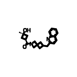 C[C@]1(O)C[C@@H](C(=O)N2CC3(CC(Cc4ccc5ccccc5n4)C3)C2)C1